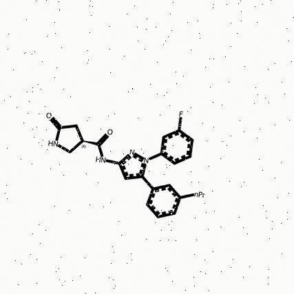 CCCc1cccc(-c2cc(NC(=O)[C@H]3CNC(=O)C3)nn2-c2cccc(F)c2)c1